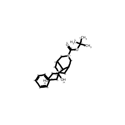 CC(C)(C)OC(=O)N1CC2CN(Cc3ccccc3)CC(C1)C2C(O)CO